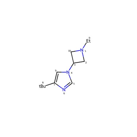 CCN1CC(n2cnc(C(C)(C)C)c2)C1